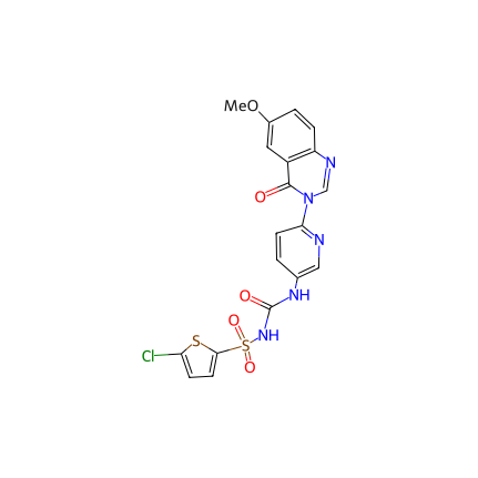 COc1ccc2ncn(-c3ccc(NC(=O)NS(=O)(=O)c4ccc(Cl)s4)cn3)c(=O)c2c1